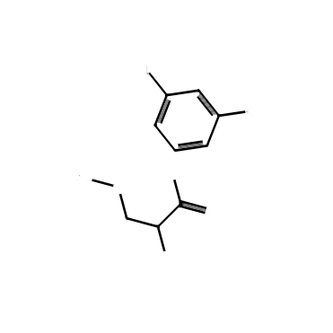 CC(=O)SCC(C)C(=O)Cl.Clc1cccc(Cl)c1